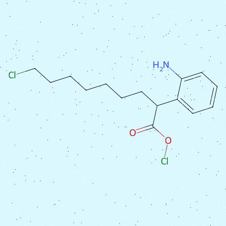 Nc1ccccc1C(CCCCCCCCl)C(=O)OCl